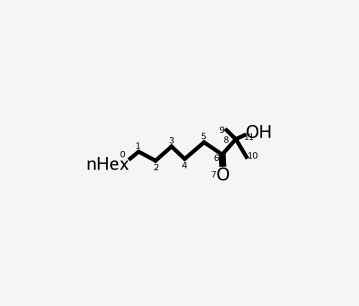 CCCCCCCCCCCC(=O)C(C)(C)O